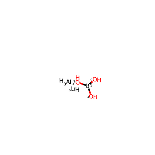 OB(O)O.[AlH3].[LiH]